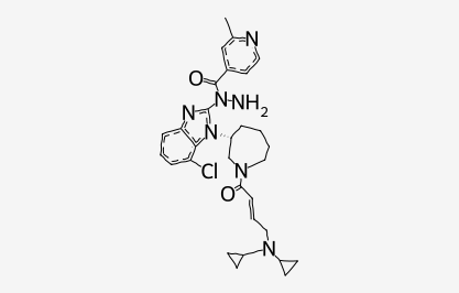 Cc1cc(C(=O)N(N)c2nc3cccc(Cl)c3n2[C@@H]2CCCCN(C(=O)/C=C/CN(C3CC3)C3CC3)C2)ccn1